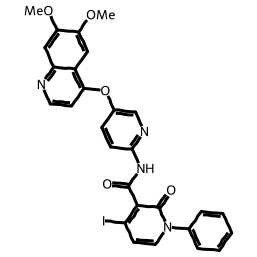 COc1cc2nccc(Oc3ccc(NC(=O)c4c(I)ccn(-c5ccccc5)c4=O)nc3)c2cc1OC